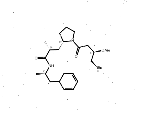 CC[C@H](C)C[C@@H](CC(=O)N1CCC[C@H]1C[C@@H](C)C(=O)N[C@H](C)CC1C=CC=CC1)OC